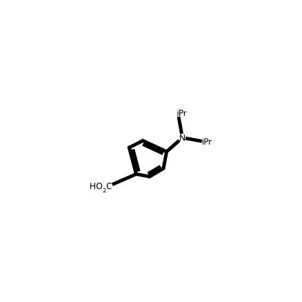 CC(C)N(c1ccc(C(=O)O)cc1)C(C)C